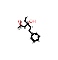 CCC(O)(CCc1ccccc1)CC(C)=O